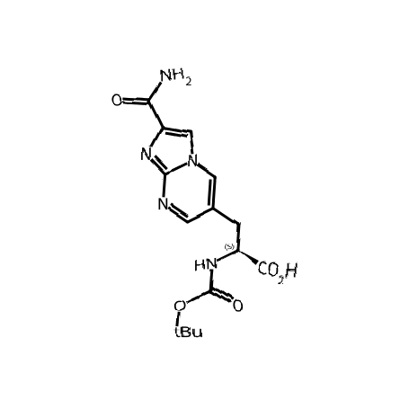 CC(C)(C)OC(=O)N[C@@H](Cc1cnc2nc(C(N)=O)cn2c1)C(=O)O